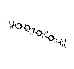 N=C(N)NCc1ccc(NC(=O)c2ccc(C(=O)Nc3cnc(C4=CCN(C(=N)N)CC4)cn3)cc2)cc1